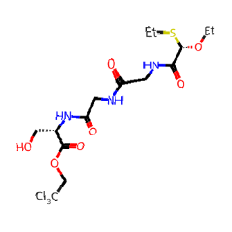 CCO[C@@H](SCC)C(=O)NCC(=O)NCC(=O)N[C@@H](CO)C(=O)OCC(Cl)(Cl)Cl